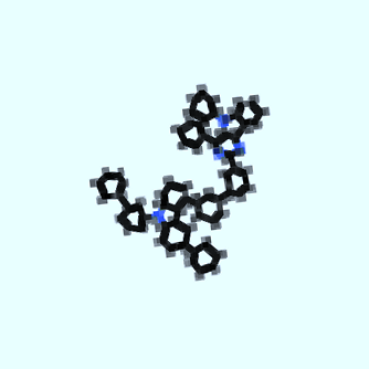 c1ccc(-c2cccc(-n3c4ccc(-c5ccccc5)cc4c4c(-c5cccc(-c6cccc(-c7nc(-c8ccccc8)c8c(n7)c7ccccc7n8-c7ccccc7)c6)c5)cccc43)c2)cc1